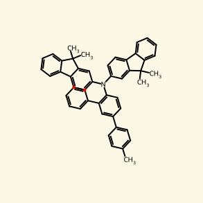 Cc1ccc(-c2ccc(N(c3ccc4c(c3)C(C)(C)c3ccccc3-4)c3ccc4c(c3)C(C)(C)c3ccccc3-4)c(-c3ccccc3)c2)cc1